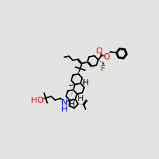 C=C(C)[C@@H]1CC[C@]2(NCCCC(C)(C)O)CC[C@]3(C)[C@H](CC[C@@H]4C[C@H](C(C)(C)/C(=C\CCC)C5=CC[C@](CF)(C(=O)OCc6ccccc6)CC5)CC[C@]43C)[C@@H]12